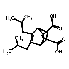 CC(C)CC1=C(CC(C)C)C2CCC1C(C(=O)O)=C2C(=O)O